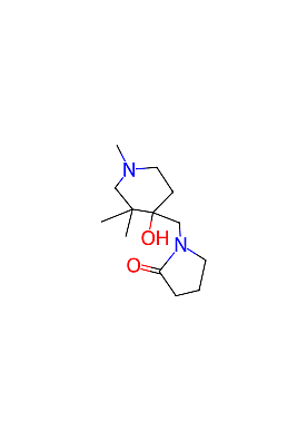 CN1CCC(O)(CN2CCCC2=O)C(C)(C)C1